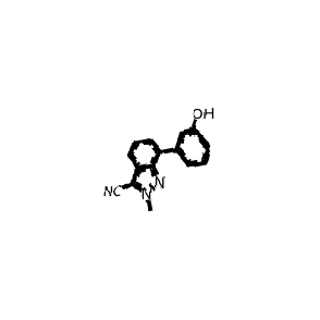 Cn1nc2c(-c3cccc(O)c3)cccc2c1C#N